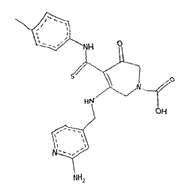 Cc1ccc(NC(=S)C2=C(NCc3ccnc(N)c3)CN(C(=O)O)CC2=O)cc1